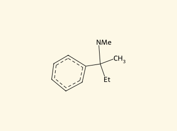 CCC(C)(NC)c1ccccc1